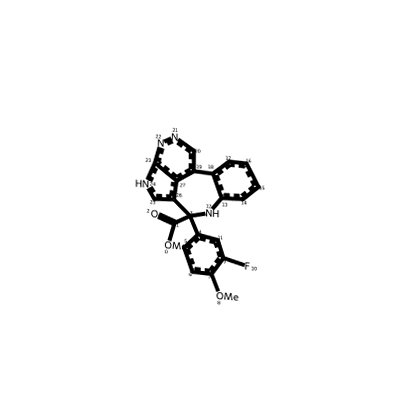 COC(=O)C1(c2ccc(OC)c(F)c2)Nc2ccccc2-c2cnnc3[nH]cc1c23